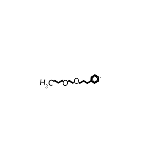 CCCCOCCOCCCc1cc[c]cc1